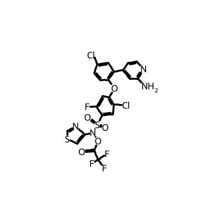 Nc1cc(-c2cc(Cl)ccc2Oc2cc(F)c(S(=O)(=O)N(OC(=O)C(F)(F)F)c3cscn3)cc2Cl)ccn1